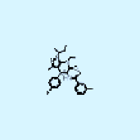 CCC(C)n1nc(C)c2c1N(CC)C(=O)[C@@H](NC(=O)c1cccc(C)c1)[C@H]2c1ccc(F)cc1